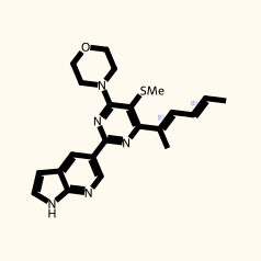 C/C=C/C=C(\C)c1nc(-c2cnc3[nH]ccc3c2)nc(N2CCOCC2)c1SC